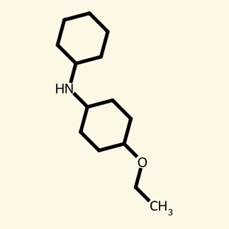 CCOC1CCC(NC2CCCCC2)CC1